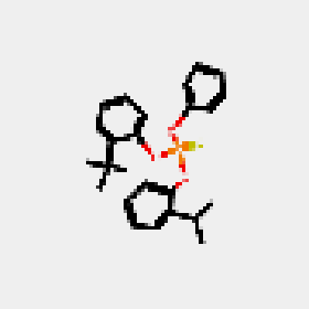 CC(C)c1ccccc1OP(=S)(Oc1ccccc1)Oc1ccccc1C(C)(C)C